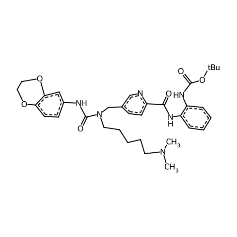 CN(C)CCCCCN(Cc1ccc(C(=O)Nc2ccccc2NC(=O)OC(C)(C)C)nc1)C(=O)Nc1ccc2c(c1)OCCO2